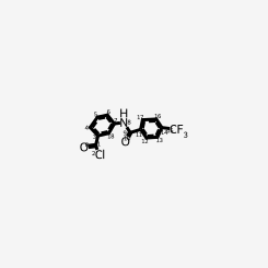 O=C(Cl)c1cccc(NC(=O)c2ccc(C(F)(F)F)cc2)c1